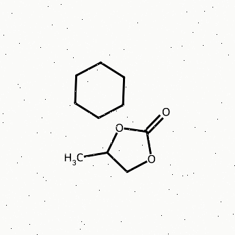 C1CCCCC1.CC1COC(=O)O1